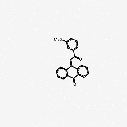 COc1cccc(C(=O)C=C2c3ccccc3C(=O)c3ccccc32)c1